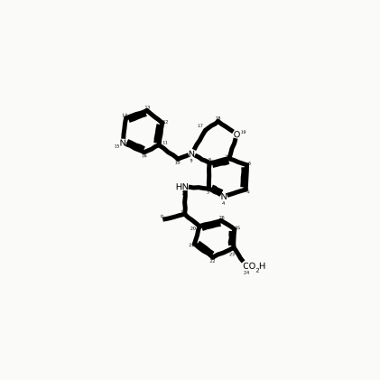 CC(Nc1nccc2c1N(Cc1cccnc1)CCO2)c1ccc(C(=O)O)cc1